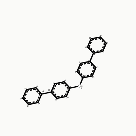 c1ccc(-c2ccc([Se]c3ccc(-c4ccccc4)cc3)cc2)cc1